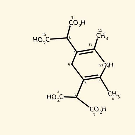 CC1=C(C(C(=O)O)C(=O)O)CC(C(C(=O)O)C(=O)O)=C(C)N1